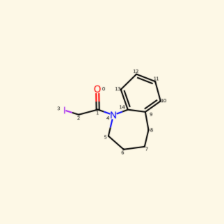 O=C(CI)N1CCCCc2ccccc21